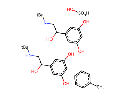 CC(C)(C)NCC(O)c1cc(O)cc(O)c1.CC(C)(C)NCC(O)c1cc(O)cc(O)c1.Cc1ccccc1.O=S(=O)(O)O